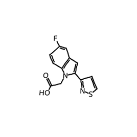 O=C(O)Cn1c(-c2ccsn2)cc2cc(F)ccc21